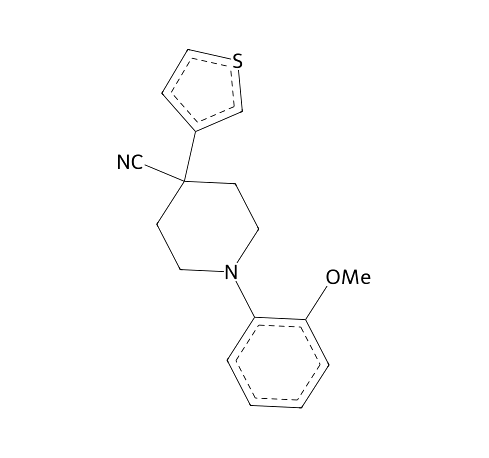 COc1ccccc1N1CCC(C#N)(c2ccsc2)CC1